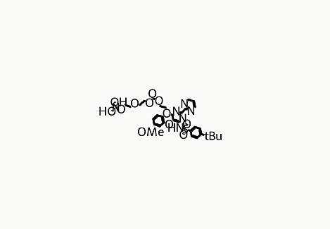 COc1ccccc1Oc1c(NS(=O)(=O)c2ccc(C(C)(C)C)cc2)nc(-c2ncccn2)nc1OCCOC(=O)OCCOCCON(O)O